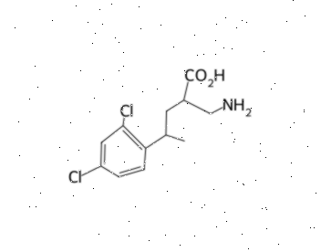 CC(CC(CN)C(=O)O)c1ccc(Cl)cc1Cl